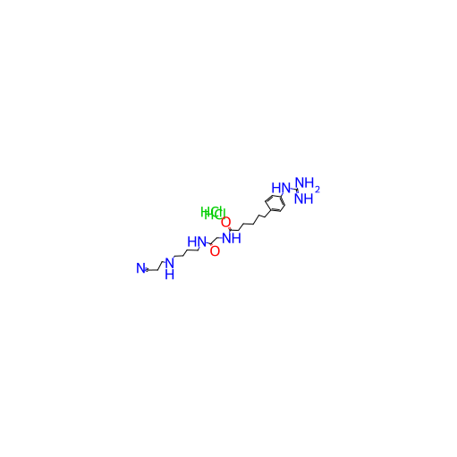 Cl.Cl.N#CCCNCCCCNC(=O)CNC(=O)CCCCCc1ccc(NC(=N)N)cc1